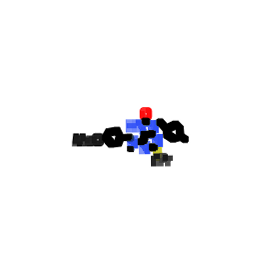 CCCSc1nc(N(C)Cc2ccc(OC)cc2)c2[nH]c(=O)n(Cc3ccc(C)cc3)c2n1